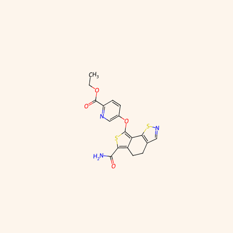 CCOC(=O)c1ccc(Oc2sc(C(N)=O)c3c2-c2sncc2CC3)cn1